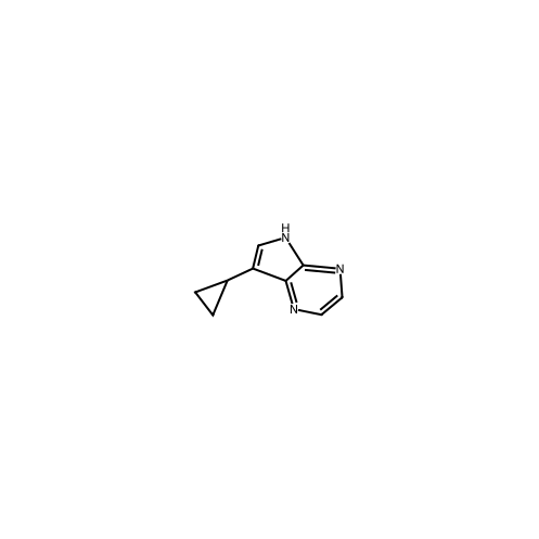 c1cnc2c(C3CC3)c[nH]c2n1